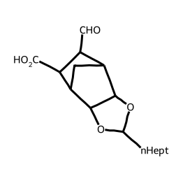 CCCCCCCC1OC2C3CC(C2O1)C(C(=O)O)C3C=O